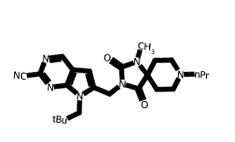 CCCN1CCC2(CC1)C(=O)N(Cc1cc3cnc(C#N)nc3n1CC(C)(C)C)C(=O)N2C